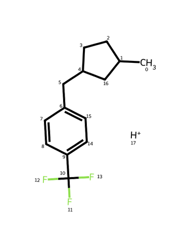 CC1CCC(Cc2ccc(C(F)(F)F)cc2)C1.[H+]